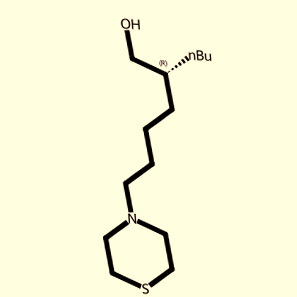 CCCC[C@@H](CO)CCCCN1CCSCC1